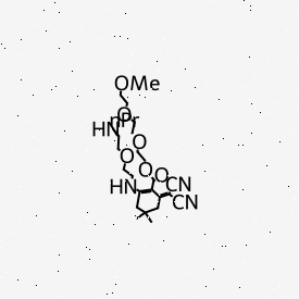 CCCNCCOCCNC1=C(C(=O)OCCOCCOCCOC)C(=C(C#N)C#N)CC(C)(C)C1